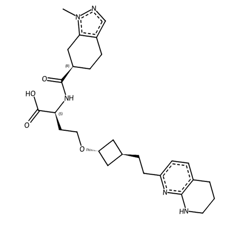 Cn1ncc2c1C[C@H](C(=O)N[C@@H](CCO[C@H]1C[C@H](CCc3ccc4c(n3)NCCC4)C1)C(=O)O)CC2